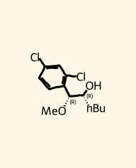 CCCC[C@@H](O)[C@H](OC)c1ccc(Cl)cc1Cl